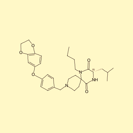 CCCCN1C(=O)[C@H](CC(C)C)NC(=O)C12CCN(Cc1ccc(Oc3ccc4c(c3)OCCO4)cc1)CC2